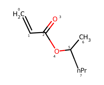 C=CC(=O)OC(C)CCC